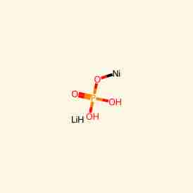 O=P(O)(O)[O][Ni].[LiH]